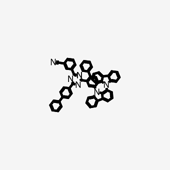 N#Cc1cccc(-c2nc(-c3ccc(-c4ccccc4)cc3)nc(-c3cc(-n4c5ccccc5c5cccc(-n6c7ccccc7c7ccccc76)c54)ccc3-c3ccccc3)n2)c1